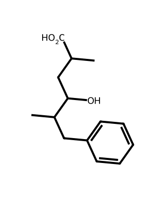 CC(CC(O)C(C)Cc1ccccc1)C(=O)O